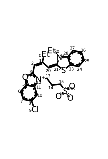 CCC(=Cc1oc2ccc(Cl)cc2[n+]1CCCS(=O)(=O)[O-])C=C1Sc2ccccc2N1CC